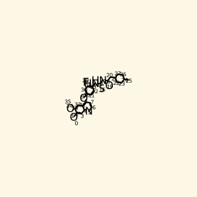 COc1cc2nccc(Oc3ccc(NC(=S)NC(=O)CC4CCC(C)CC4)c(F)c3)c2cc1OC